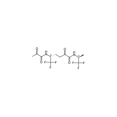 CC(=O)C(=O)N[C@H](CCC(=O)C(=O)N[C@@H](C)C(F)(F)F)C(F)(F)F